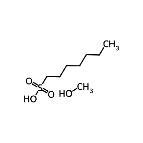 CCCCCCCS(=O)(=O)O.CO